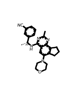 Cc1nc(N[C@H](C)c2cccc(C#N)c2)c2cc(N3CCOCC3)c3c(c2n1)CCC3